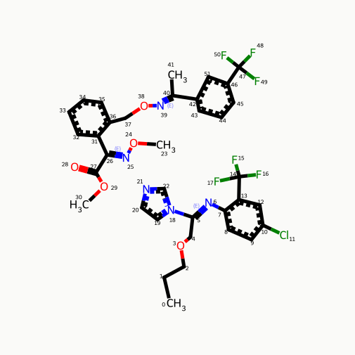 CCCOC/C(=N\c1ccc(Cl)cc1C(F)(F)F)n1ccnc1.CO/N=C(/C(=O)OC)c1ccccc1CO/N=C(\C)c1cccc(C(F)(F)F)c1